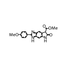 COC(=O)C1C(=O)Nc2cc3[nH]c(-c4ccc(OC)cc4)nc3cc21